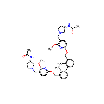 COc1nc(OCc2cccc(-c3cccc(COc4ccc(CN5CC[C@H](NC(C)=O)C5)c(OC)n4)c3C)c2C)ccc1CN1CC[C@H](NC(C)=O)C1